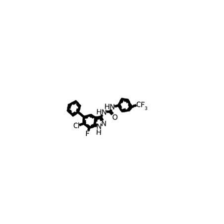 O=C(Nc1ccc(C(F)(F)F)cc1)Nc1n[nH]c2c(F)c(Cl)c(-c3ccccc3)cc12